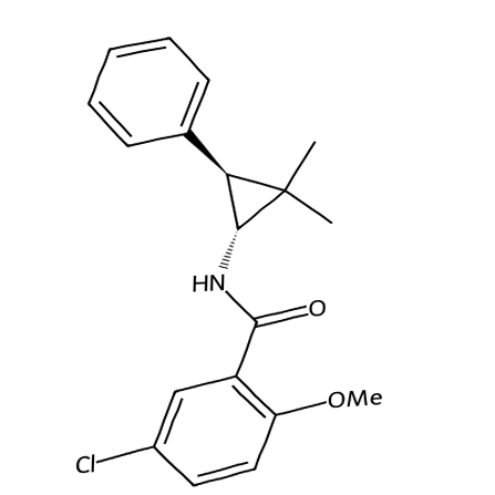 COc1ccc(Cl)cc1C(=O)N[C@@H]1[C@@H](c2ccccc2)C1(C)C